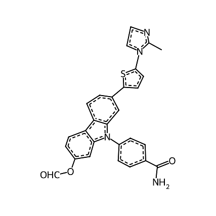 Cc1nccn1-c1ccc(-c2ccc3c4ccc(OC=O)cc4n(-c4ccc(C(N)=O)cc4)c3c2)s1